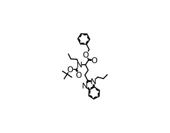 CCCN(C(=O)OC(C)(C)C)C(CCc1nc2ccccc2n1CCC)C(=O)OCc1ccccc1